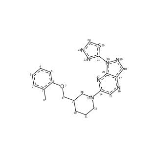 Cc1ccccc1OCC1CCCN(c2cnc3cnn(-c4nncs4)c3n2)C1